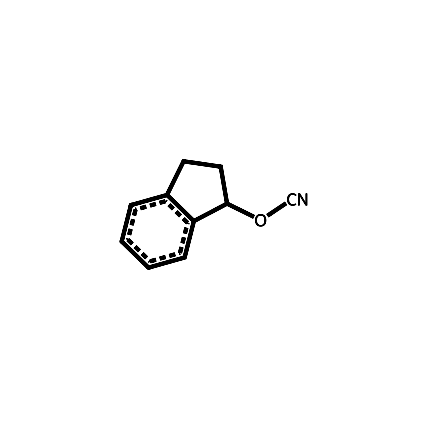 N#COC1CCc2ccccc21